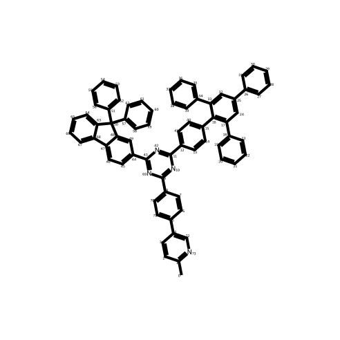 Cc1ccc(-c2ccc(-c3nc(-c4ccc(-c5c(-c6ccccc6)cc(-c6ccccc6)cc5-c5ccccc5)cc4)nc(-c4ccc5c(c4)C(c4ccccc4)(c4ccccc4)c4ccccc4-5)n3)cc2)cn1